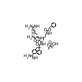 C[C@](Cc1ccc(C(=N)N)cc1)(C(=O)N[C@@H](CCCCNC(=O)OCc1ccccc1)C(=O)N[C@@H](CCCNC(=N)N)C(N)=O)c1ccccc1.O=C(O)C(F)(F)F